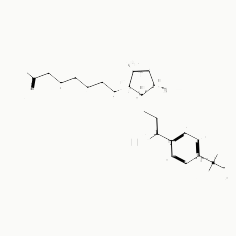 CC(=O)CCCCCC[C@@H]1[C@@H](CCC(O)c2ccc(C(F)(F)F)cc2)[C@H](O)C[C@@H]1O